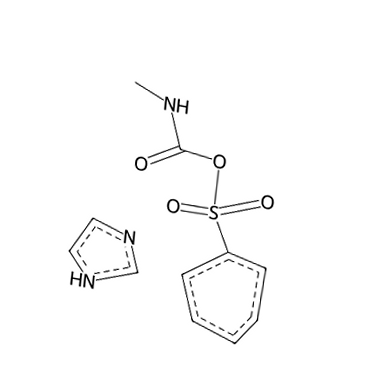 CNC(=O)OS(=O)(=O)c1ccccc1.c1c[nH]cn1